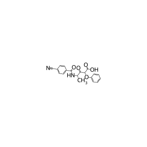 CC(NC(=O)c1ccc(C#N)cc1)C(=O)C(Oc1ccccc1)C(=O)O